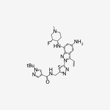 C=Cc1c2cc(N)cc(N[C@@H]3CCN(C)C[C@@H]3F)c2nn1-c1nnc(CNC(=O)c2cnn(C(C)(C)C)c2)s1